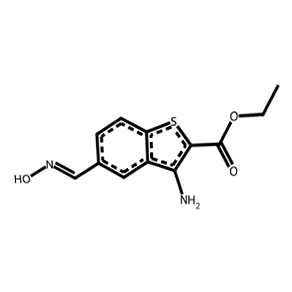 CCOC(=O)c1sc2ccc(/C=N/O)cc2c1N